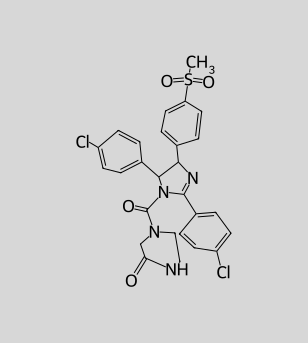 CS(=O)(=O)c1ccc(C2N=C(c3ccc(Cl)cc3)N(C(=O)N3CCNC(=O)C3)C2c2ccc(Cl)cc2)cc1